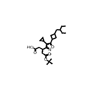 CCC(CC)CC1CC(c2onc(C(CC(=O)O)CC(=O)OC(C)(C)C)c2C2CC2)C1